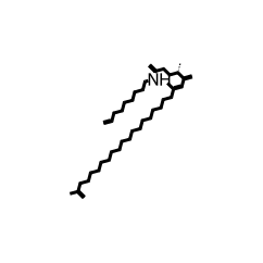 C=CCCCCCCCNC(=C)CC[C@H](C)C(=C)/C=C(\C)CCCCCCCCCCCCCCCCCCC(=C)C